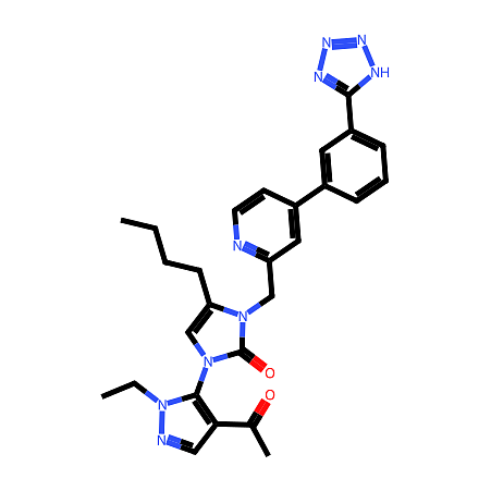 CCCCc1cn(-c2c(C(C)=O)cnn2CC)c(=O)n1Cc1cc(-c2cccc(-c3nnn[nH]3)c2)ccn1